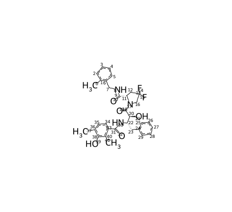 Cc1ccccc1CNC(=O)[C@@H]1CC(F)(F)CN1C(=O)[C@@H](O)[C@H](Cc1ccccc1)NC(=O)c1ccc(C)c(O)c1C